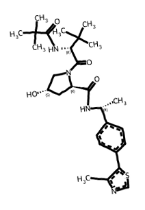 Cc1ncsc1-c1ccc([C@@H](C)NC(=O)[C@H]2C[C@H](O)CN2C(=O)[C@H](NC(=O)C(C)(C)C)C(C)(C)C)cc1